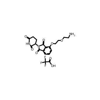 NCCOCCOc1cccc2c1C(=O)N(C1CCC(=O)NC1=O)C2=O.O=C(O)C(F)(F)F